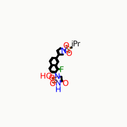 CC(C)CS(=O)(=O)N1CC=C(c2ccc3cc(O)c(N4CC(=O)NS4(=O)=O)c(F)c3c2)C1